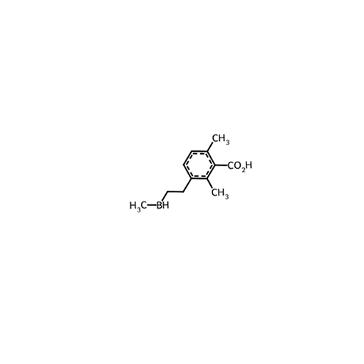 CBCCc1ccc(C)c(C(=O)O)c1C